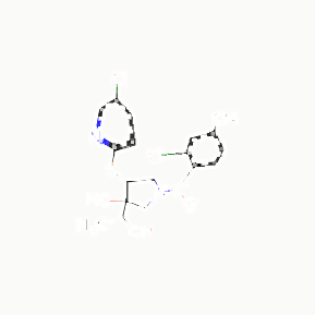 C[C@@H](O)C1(O)CN([S+]([O-])c2ccc(C#N)cc2Cl)C[C@@H]1Sc1ccc(Cl)cn1